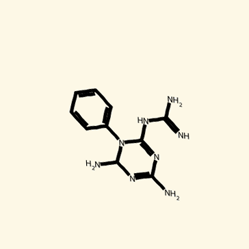 N=C(N)NC1=NC(N)=NC(N)N1c1ccccc1